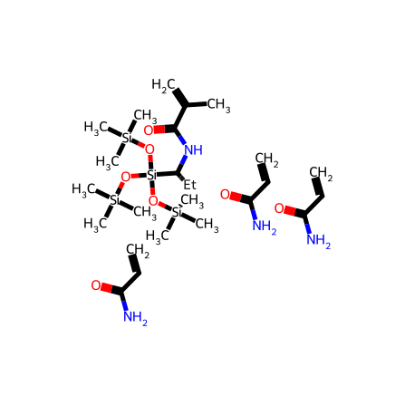 C=C(C)C(=O)NC(CC)[Si](O[Si](C)(C)C)(O[Si](C)(C)C)O[Si](C)(C)C.C=CC(N)=O.C=CC(N)=O.C=CC(N)=O